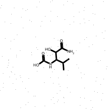 CC(C)C(NC(=O)O)C(O)C(N)=O